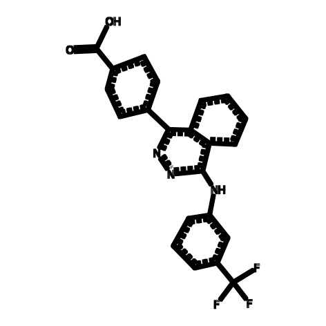 O=C(O)c1ccc(-c2nnc(Nc3cccc(C(F)(F)F)c3)c3ccccc23)cc1